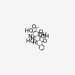 CC(=O)C1=C(O)[C@@H](N(C)C)[C@@H]2[C@@H](O)[C@@H]3Cc4ccccc4C(=O)C3=C(O)[C@]2(O)C1=O